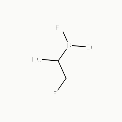 CCB(CC)C(C)CF